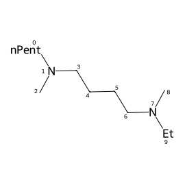 CCCCCN(C)CCCCN(C)CC